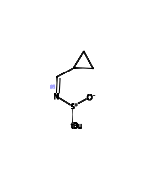 CC(C)(C)[S+]([O-])/N=C\C1CC1